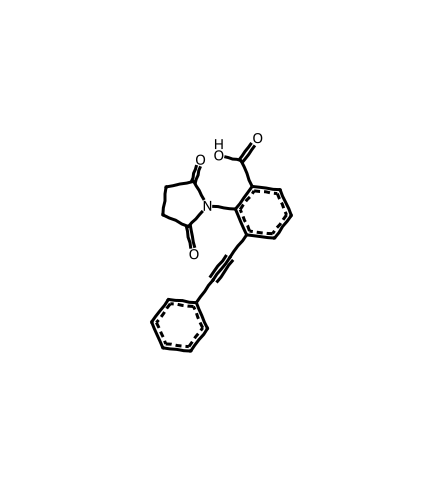 O=C(O)c1cccc(C#Cc2ccccc2)c1N1C(=O)CCC1=O